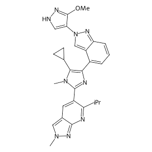 COc1n[nH]cc1-n1cc2c(-c3nc(-c4cc5cn(C)nc5nc4C(C)C)n(C)c3C3CC3)cccc2n1